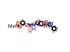 CNS(=O)(=O)c1cccc(OC[C@@H](O)CNC2COC3(CCN(S(=O)(=O)c4cnn(-c5ccccc5)c4)CC3)C2)c1